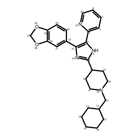 c1ccc(-c2[nH]c(C3CCN(CC4CCCCC4)CC3)nc2-c2ccc3c(c2)OCO3)nc1